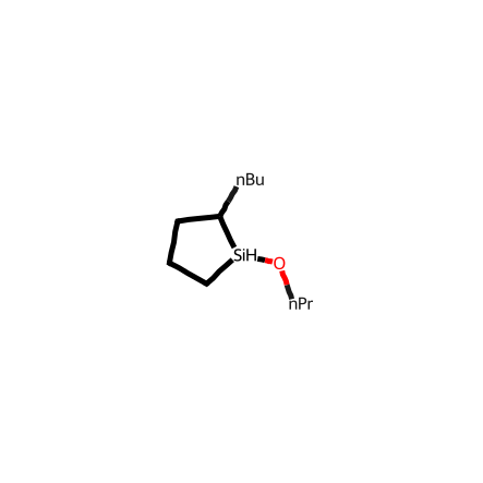 CCCCC1CCC[SiH]1OCCC